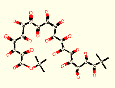 C[Si](C)(C)O[Si](=O)[Si](=O)[Si](=O)[Si](=O)[Si](=O)[Si](=O)[Si](=O)[Si](=O)[Si](=O)[Si](=O)[Si](=O)[Si](=O)[Si](=O)[Si](=O)[Si](=O)[Si](=O)[Si](=O)[Si](=O)[Si](C)(C)C